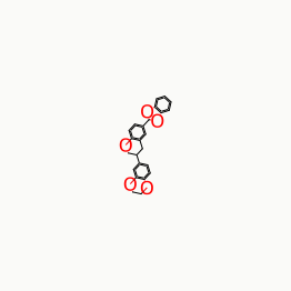 c1ccc2c(c1)OC(c1ccc3c(c1)CC(c1ccc4c(c1)OCCO4)CO3)O2